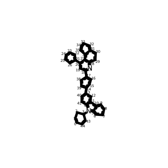 C1=CCC(n2c3ccccc3c3cc(-c4ccc(-c5cc(-c6ccccc6)c6c(ccc7ccccc76)n5)cc4)ccc32)C=C1